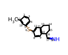 Cc1cccc(Sc2ccc3c(c2)CCCC3C=N)c1